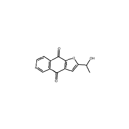 CC(O)c1cc2c(o1)C(=O)c1ccncc1C2=O